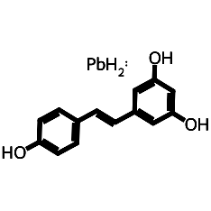 Oc1ccc(/C=C/c2cc(O)cc(O)c2)cc1.[PbH2]